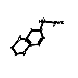 CCCC(C)Nc1ccc2c(c1)OCCO2